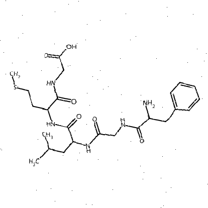 CSCCC(NC(=O)C(CC(C)C)NC(=O)CNC(=O)C(N)Cc1ccccc1)C(=O)NCC(=O)O